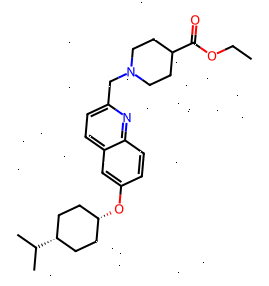 CCOC(=O)C1CCN(Cc2ccc3cc(O[C@H]4CC[C@@H](C(C)C)CC4)ccc3n2)CC1